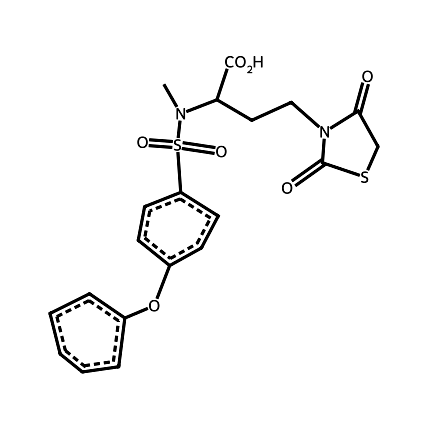 CN(C(CCN1C(=O)CSC1=O)C(=O)O)S(=O)(=O)c1ccc(Oc2ccccc2)cc1